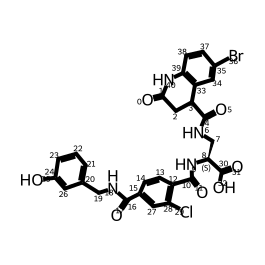 O=C1CC(C(=O)NC[C@H](NC(=O)c2ccc(C(=O)NCc3cccc(O)c3)cc2Cl)C(=O)O)c2cc(Br)ccc2N1